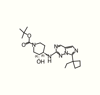 CCC1(c2ncc3cnc(N[C@@H]4CCN(C(=O)OC(C)(C)C)C[C@H]4O)nn23)CCC1